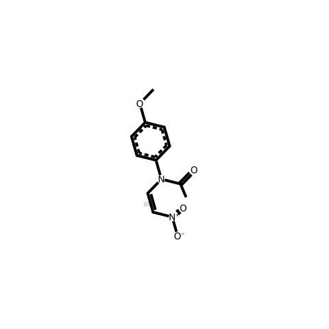 COc1ccc(N(/C=C\[N+](=O)[O-])C(C)=O)cc1